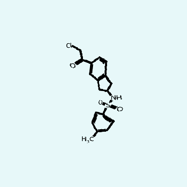 Cc1ccc(S(=O)(=O)NC2Cc3ccc(C(=O)CCl)cc3C2)cc1